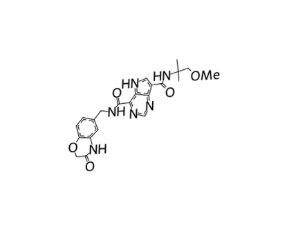 COCC(C)(C)NC(=O)c1c[nH]c2c(C(=O)NCc3ccc4c(c3)NC(=O)CO4)ncnc12